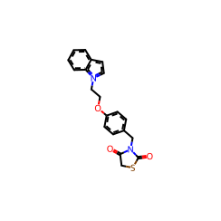 O=C1CSC(=O)N1Cc1ccc(OCCn2ccc3ccccc32)cc1